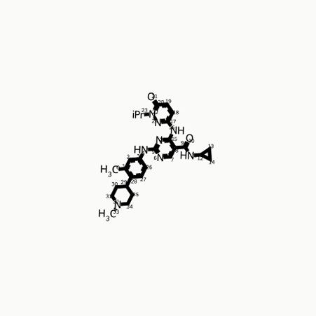 Cc1cc(Nc2ncc(C(=O)NC3CC3)c(Nc3ccc(=O)n(C(C)C)n3)n2)ccc1C1CCN(C)CC1